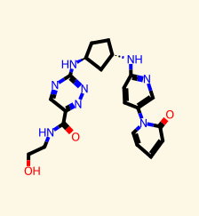 O=C(NCCO)c1cnc(N[C@H]2CC[C@H](Nc3ccc(-n4ccccc4=O)cn3)C2)nn1